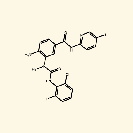 Nc1ccc(C(=O)Nc2ccc(Br)cn2)cc1N(S)C(=O)Nc1c(F)cccc1Cl